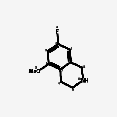 COc1cc(F)cc2c1CCNC2